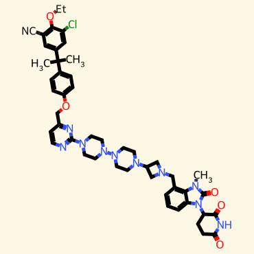 CCOc1c(Cl)cc(C(C)(C)c2ccc(OCc3ccnc(N4CCN(N5CCN(C6CN(Cc7cccc8c7n(C)c(=O)n8C7CCC(=O)NC7=O)C6)CC5)CC4)n3)cc2)cc1C#N